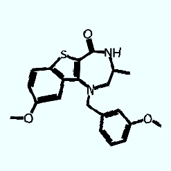 COc1cccc(CN2CC(C)NC(=O)c3sc4ccc(OC)cc4c32)c1